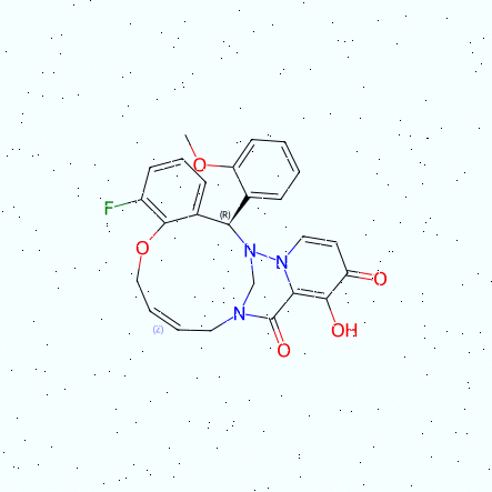 COc1ccccc1[C@@H]1c2cccc(F)c2OC/C=C\CN2CN1n1ccc(=O)c(O)c1C2=O